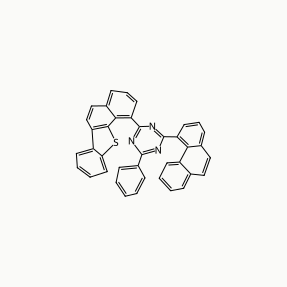 c1ccc(-c2nc(-c3cccc4ccc5ccccc5c34)nc(-c3cccc4ccc5c6ccccc6sc5c34)n2)cc1